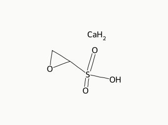 O=S(=O)(O)C1CO1.[CaH2]